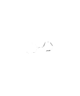 CCN(CC#N)c1ccccc1